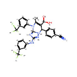 CC1=C(C(=O)O)C(c2ccc(C#N)cc2)n2nc(Nc3cccc(C(F)(F)F)c3)nc2N1c1cccc(C(F)(F)F)c1